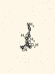 Cc1c(COc2cc(OCc3cncc(C#N)c3)c(CN3CCCC[C@H]3C(=O)O)cc2Cl)cccc1-c1cccc(OCCCN2CCC3(CC2)CC(N)C3)c1C